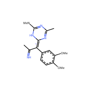 CNC1=NC(C)=N/C(=C(/C(C)=N)c2ccc(OC)c(OC)c2)N1